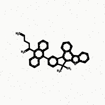 C=CCCC(=C)c1c2ccccc2c(-c2ccc3c(c2)-c2c(c4oc5ccccc5c4c4ccccc24)C3(C)C)c2ccccc12